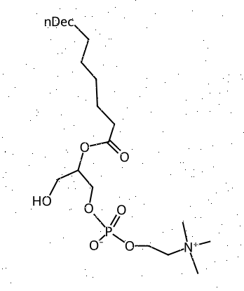 CCCCCCCCCCCCCCCC(=O)OC(CO)COP(=O)([O-])OCC[N+](C)(C)C